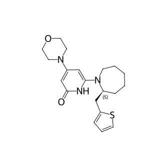 O=c1cc(N2CCOCC2)cc(N2CCCCC[C@H]2Cc2cccs2)[nH]1